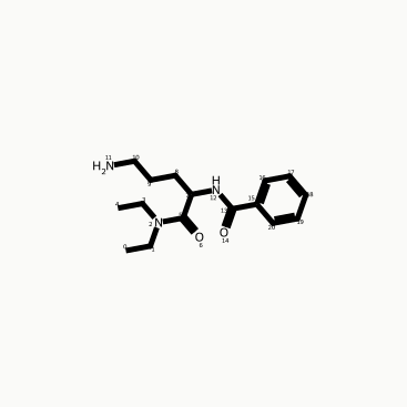 CCN(CC)C(=O)C(CCCN)NC(=O)c1ccccc1